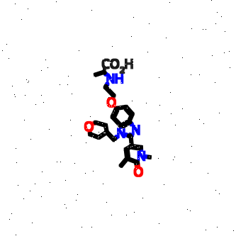 Cc1cc(-c2nc3ccc(OCCN[C@@H](C)C(=O)O)cc3n2CC2CCOCC2)cn(C)c1=O